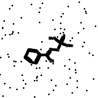 COP(=S)(OC)ON=C(C#N)c1ccccc1